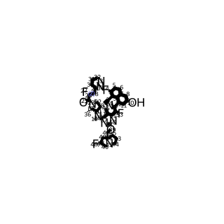 C#Cc1c(F)ccc2cc(O)cc(-c3ncc4c(N(C)[C@H]5CCN(C(=O)/C(F)=C/c6cccnn6)[C@H]5C)nc(OC[C@@]56CCCN5C[C@H](F)C6)nc4c3F)c12